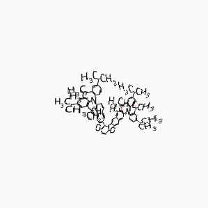 CC(C)c1ccc(N(c2ccc3cc4c(cc3c2)oc2ccc3oc5cc6cc(N(c7ccc(C(C)C)cc7C(C)C)c7ccc(C(C)C)cc7C(C)C)ccc6cc5c3c24)c2ccc(C(C)C)cc2C(C)C)c(C(C)C)c1